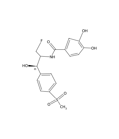 CS(=O)(=O)c1ccc([C@@H](O)C(CF)NC(=O)c2ccc(O)c(O)c2)cc1